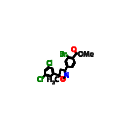 COC(=O)c1ccc(C2=NOC(C)(c3cc(Cl)cc(Cl)c3)C2)cc1Br